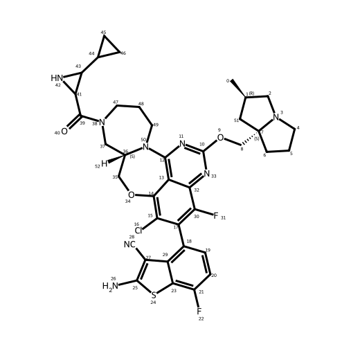 C[C@H]1CN2CCC[C@@]2(COc2nc3c4c(c(Cl)c(-c5ccc(F)c6sc(N)c(C#N)c56)c(F)c4n2)OC[C@@H]2CN(C(=O)C4NC4C4CC4)CCCN32)C1